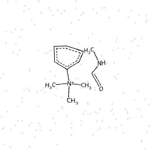 CNC=O.C[N+](C)(C)c1ccccc1